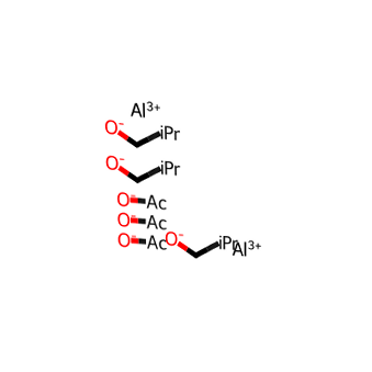 CC(=O)[O-].CC(=O)[O-].CC(=O)[O-].CC(C)C[O-].CC(C)C[O-].CC(C)C[O-].[Al+3].[Al+3]